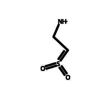 [NH]CC=S(=O)=O